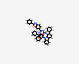 c1ccc(-c2ccc(-n3c4ccccc4c4ccc5c6ccccc6n(-c6nc(-c7ccccc7)nc(-c7ccc8nc(-c9ccccc9)oc8c7)n6)c5c43)cc2)cc1